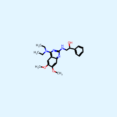 CCN(CC)c1nc(NCC(O)c2ccccc2)nc2cc(OC)c(OC)cc12